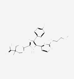 COCCNc1nccc(-c2[nH]c(C3OCC(C)(C(=O)O)CO3)nc2-c2ccc(F)cc2)n1